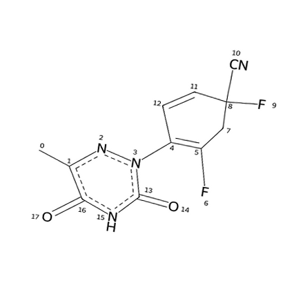 Cc1nn(C2=C(F)CC(F)(C#N)C=C2)c(=O)[nH]c1=O